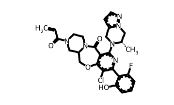 C=CC(=O)N1CCN2C(=O)c3c(N4Cc5ccnn5C[C@@H]4C)nc(-c4c(O)cccc4F)c(Cl)c3OCC2C1